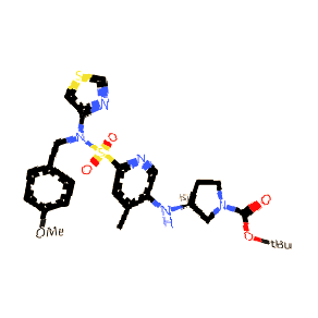 COc1ccc(CN(c2cscn2)S(=O)(=O)c2cc(C)c(N[C@H]3CCN(C(=O)OC(C)(C)C)C3)cn2)cc1